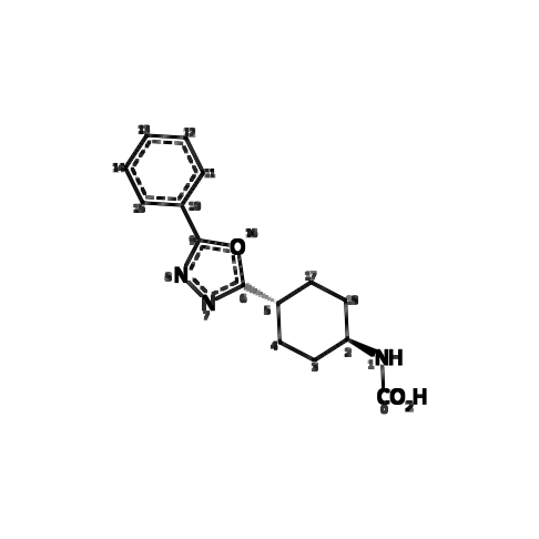 O=C(O)N[C@H]1CC[C@H](c2nnc(-c3ccccc3)o2)CC1